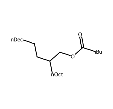 CCCCCCCCCCCCC(CCCCCCCC)COC(=O)C(C)CC